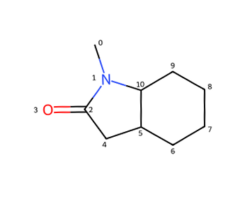 CN1C(=O)CC2CCCCC21